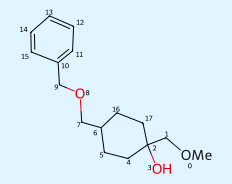 COCC1(O)CCC(COCc2ccccc2)CC1